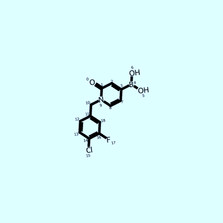 O=c1cc(B(O)O)ccn1Cc1ccc(Cl)c(F)c1